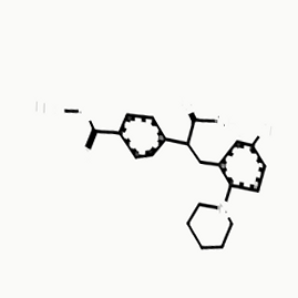 COC(=O)c1ccc(C(Cc2cc(C)ccc2N2CCCCC2)C(N)=O)cc1